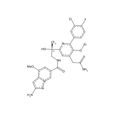 CCOc1c(CC(N)=O)cc([C@@](O)(CNC(=O)c2cc(OC)c3cc(N)nn3c2)C(F)(F)F)nc1-c1ccc(F)c(Cl)c1